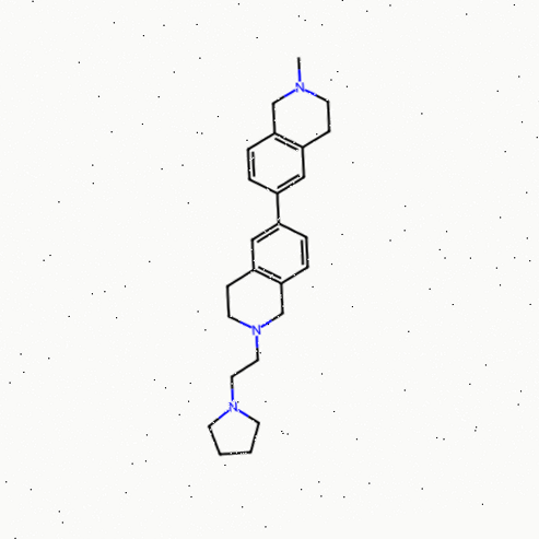 CN1CCc2cc(-c3ccc4c(c3)CCN(CCN3CCCC3)C4)ccc2C1